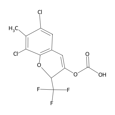 Cc1c(Cl)cc2c(c1Cl)OC(C(F)(F)F)C(OC(=O)O)=C2